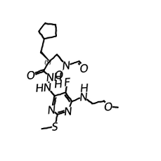 COCCNc1nc(SC)nc(NNC(=O)[C@@H](CC2CCCC2)CN(O)C=O)c1F